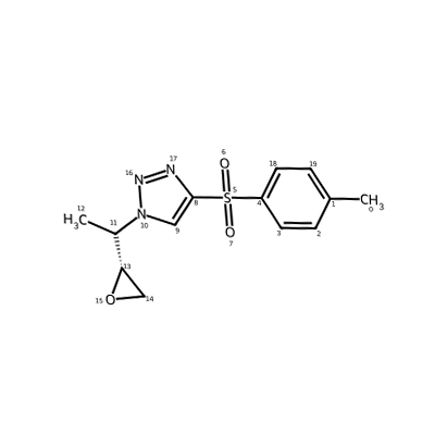 Cc1ccc(S(=O)(=O)c2cn(C(C)[C@@H]3CO3)nn2)cc1